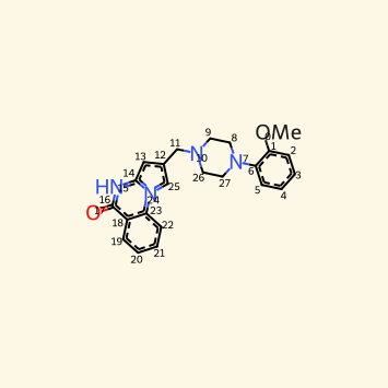 COc1ccccc1N1CCN(Cc2cc3[nH]c(=O)c4ccccc4n3c2)CC1